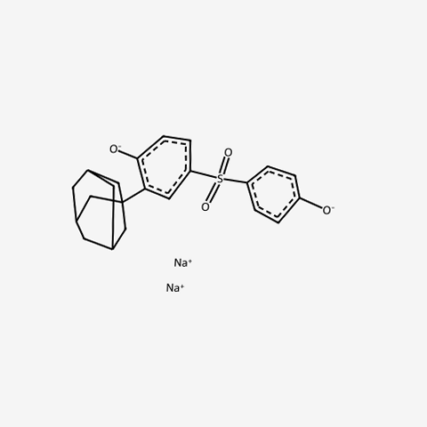 O=S(=O)(c1ccc([O-])cc1)c1ccc([O-])c(C23CC4CC(CC(C4)C2)C3)c1.[Na+].[Na+]